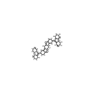 c1cnc2c3ccncc3n(-c3ccc4oc5cc6c(cc5c4c3)oc3ccc(-n4c5cnccc5c5ncccc54)cc36)c2c1